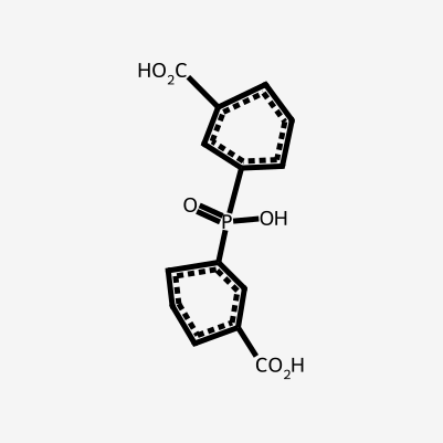 O=C(O)c1cccc(P(=O)(O)c2cccc(C(=O)O)c2)c1